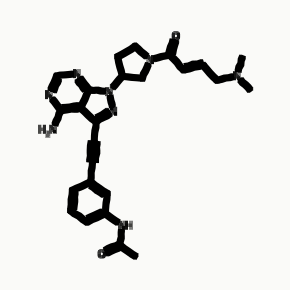 CC(=O)Nc1cccc(C#Cc2nn(C3CCN(C(=O)C=CCN(C)C)C3)c3ncnc(N)c23)c1